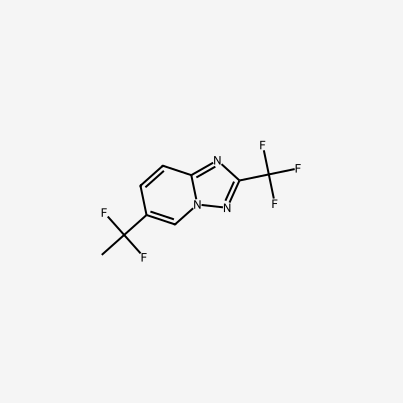 CC(F)(F)c1ccc2nc(C(F)(F)F)nn2c1